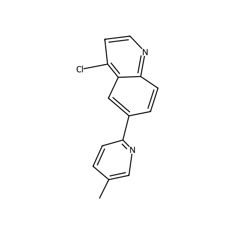 Cc1ccc(-c2ccc3nccc(Cl)c3c2)nc1